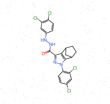 O=C(NNc1ccc(Cl)c(Cl)c1)c1nn(-c2ccc(Cl)cc2Cl)c2c1C1CCC2C1